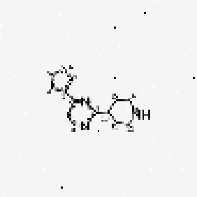 c1cc(-c2ccsc2)nc(C2CCNCC2)n1